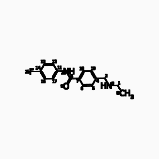 CCNCc1ccc(C(=O)Nc2ccc(F)cc2)cc1